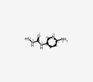 Nc1ccc(NC(=O)NS)cn1